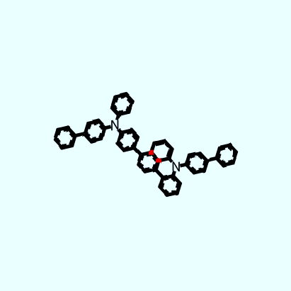 C1=CCCC(N(c2ccc(-c3ccccc3)cc2)c2ccccc2-c2ccc(-c3ccc(N(c4ccccc4)c4ccc(-c5ccccc5)cc4)cc3)cc2)=C1